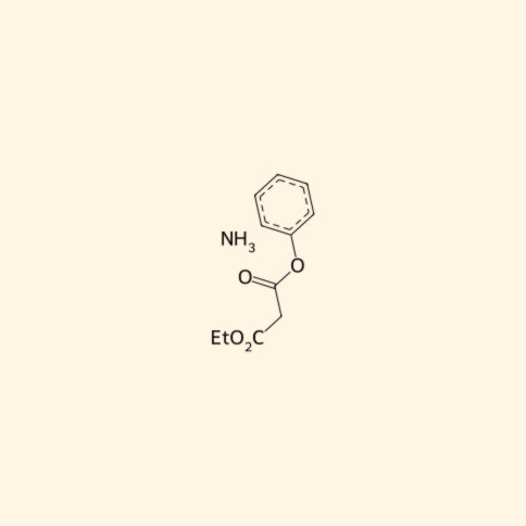 CCOC(=O)CC(=O)Oc1ccccc1.N